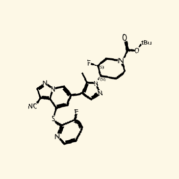 Cc1c(-c2cc(Sc3ncccc3F)c3c(C#N)cnn3c2)cnn1[C@H]1CCN(C(=O)OC(C)(C)C)C[C@@H]1F